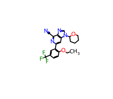 CCOc1ccc(C(F)(F)F)cc1-c1cc2c(ncn2C2CCCCO2)c(C#N)n1